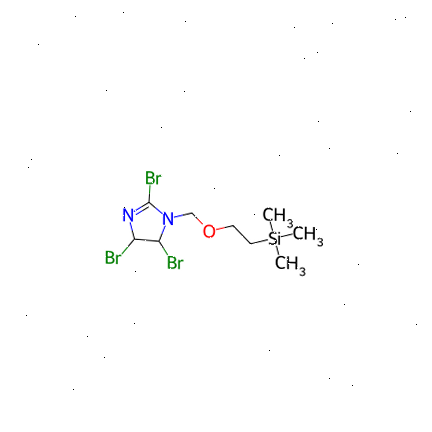 C[Si](C)(C)CCOCN1C(Br)=NC(Br)C1Br